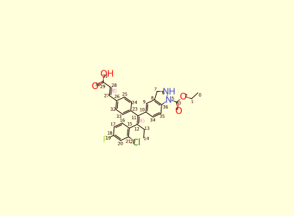 CCOC(=O)N1NCc2cc(/C(=C(\CC)c3ccc(F)cc3Cl)c3ccc(/C=C/C(=O)O)cc3)ccc21